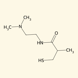 CC(CS)C(=O)NCCN(C)C